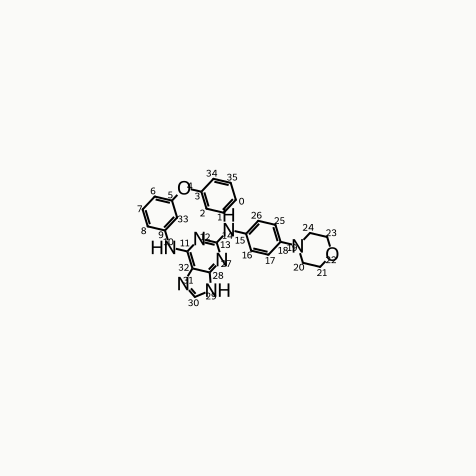 c1ccc(Oc2cccc(Nc3nc(Nc4ccc(N5CCOCC5)cc4)nc4[nH]cnc34)c2)cc1